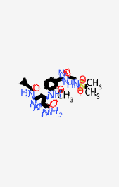 COc1c(Nc2cc(NC(=O)C3CC3)nnc2C(N)=O)cccc1-c1noc(CNS(=O)(=O)C(C)C)n1